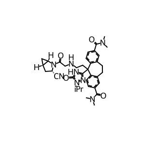 CC(C)n1nc(C2(CCNCC(=O)N3[C@H](C#N)C[C@@H]4C[C@@H]43)c3ccc(C(=O)N(C)C)cc3CCc3cc(C(=O)N(C)C)ccc32)[nH]c1=O